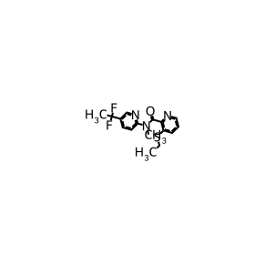 CCSc1cccnc1C(=O)N(C)c1ccc(C(C)(F)F)cn1